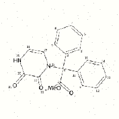 COC(=O)C(c1ccccc1)(c1ccccc1)n1cc[nH]c(=O)c1=O